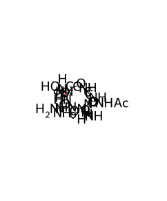 CC(=O)NCC(=O)NC1CCCNC(=O)CCC(C(=O)O)NC(=O)[C@H](Cc2c[nH]c3ccccc23)NC(=O)C(CCCNC(=N)N)NC(=O)C(Cc2ccccc2)NC(=O)[C@H](Cc2c[nH]cn2)NC1=O